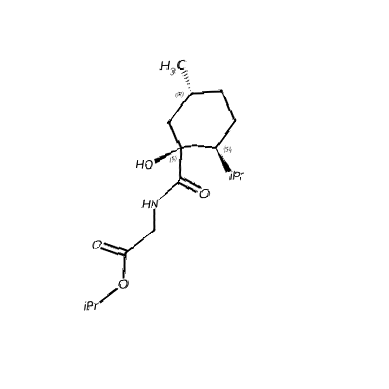 CC(C)OC(=O)CNC(=O)[C@]1(O)C[C@H](C)CC[C@H]1C(C)C